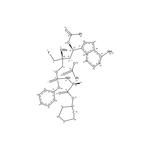 CO[C@](CF)(COP(=O)(N[C@@H](C)C(=O)OC1CCCCC1)Oc1ccccc1)[C@@H](OC(=O)C(C)C)[C@@H](OC(=O)C(C)C)c1ccc2c(N)ncnn12